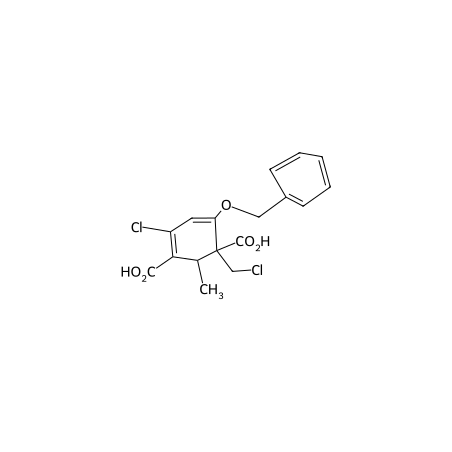 CC1C(C(=O)O)=C(Cl)C=C(OCc2ccccc2)C1(CCl)C(=O)O